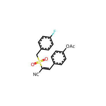 CC(=O)Oc1ccc(C=C(C#N)S(=O)(=O)Cc2ccc(F)cc2)cc1